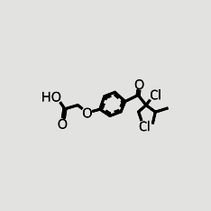 CC(C)C(Cl)(CCl)C(=O)c1ccc(OCC(=O)O)cc1